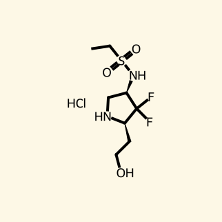 CCS(=O)(=O)N[C@@H]1CN[C@H](CCO)C1(F)F.Cl